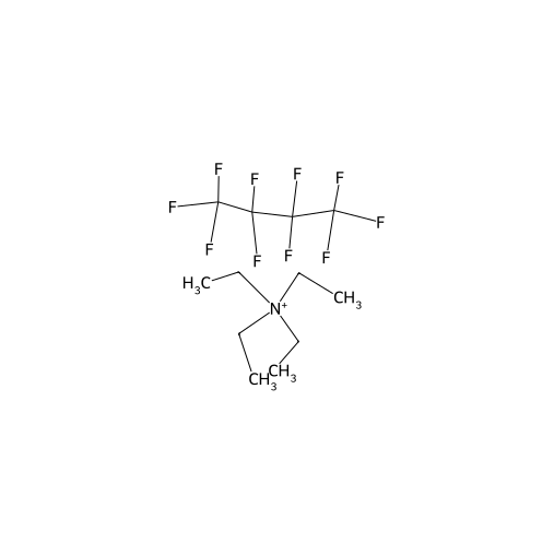 CC[N+](CC)(CC)CC.FC(F)(F)C(F)(F)C(F)(F)C(F)(F)F